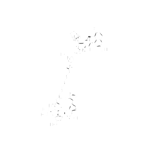 C#Cc1c(F)ccc2cc(O)cc(-c3ncc4c(N5CC6CCC(C5)N6)nc(OC[C@@H]5C[C@@H](NC(=O)CCCCCCCCCCC(=O)N[C@H](C(=O)N6C[C@H](O)C[C@H]6C(=O)N[C@@H](C)c6ccc(-c7scnc7C)cc6)C(C)(C)C)CN5C)nc4c3F)c12